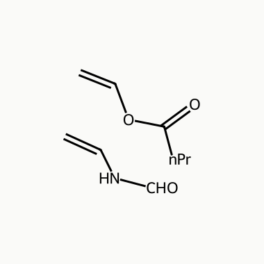 C=CNC=O.C=COC(=O)CCC